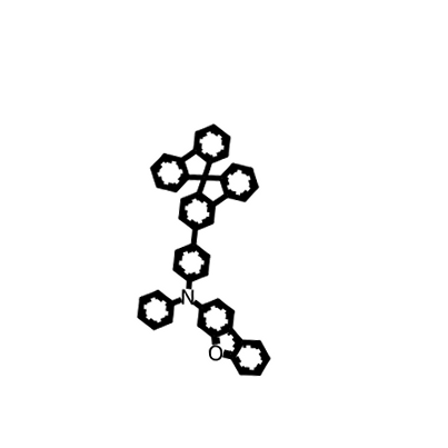 c1ccc(N(c2ccc(-c3ccc4c(c3)-c3ccccc3C43c4ccccc4-c4ccccc43)cc2)c2ccc3c(c2)oc2ccccc23)cc1